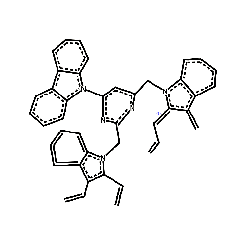 C=C/C=c1\c(=C)c2ccccc2n1Cc1cc(-n2c3ccccc3c3ccccc32)nc(Cn2c(C=C)c(C=C)c3c2=CC=C=C=3)n1